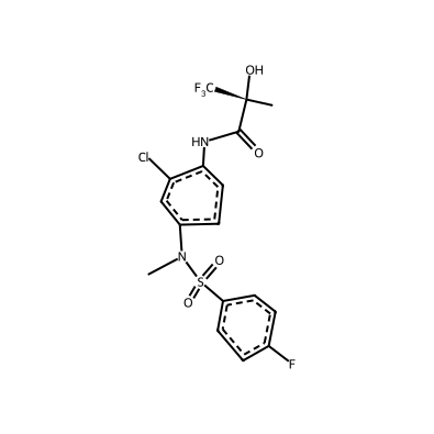 CN(c1ccc(NC(=O)[C@@](C)(O)C(F)(F)F)c(Cl)c1)S(=O)(=O)c1ccc(F)cc1